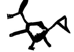 C=C(O)c1cn(C2CC2)c(C)c(Br)c1=O